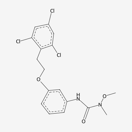 CON(C)C(=O)Nc1cccc(OCCc2c(Cl)cc(Cl)cc2Cl)c1